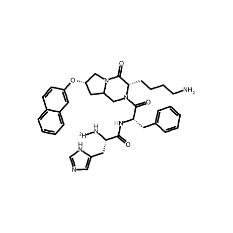 [2H]N[C@@H](Cc1cnc[nH]1)C(=O)N[C@@H](Cc1ccccc1)C(=O)N1CC2C[C@H](Oc3ccc4ccccc4c3)CN2C(=O)[C@@H]1CCCCN